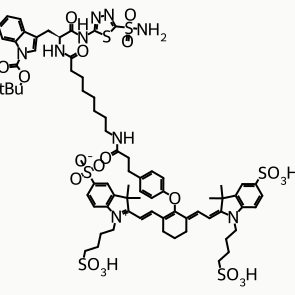 CC(C)(C)OC(=O)n1cc(C[C@H](NC(=O)CCCCCCCNC(=O)CCc2ccc(OC3=C(/C=C/C4=[N+](CCCCS(=O)(=O)O)c5ccc(S(=O)(=O)[O-])cc5C4(C)C)CCC/C3=C\C=C3\N(CCCCS(=O)(=O)O)c4ccc(S(=O)(=O)O)cc4C3(C)C)cc2)C(=O)Nc2nnc(S(N)(=O)=O)s2)c2ccccc21